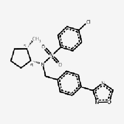 C[C@H]1CCC[C@H]1N(Cc1ccc(-c2ncon2)cc1)S(=O)(=O)c1ccc(Cl)cc1